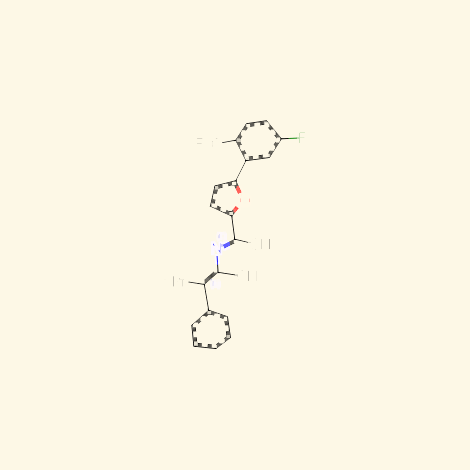 CCC/C(=C(C)\N=C(/C)c1ccc(-c2cc(F)ccc2C(F)(F)F)o1)c1ccccc1